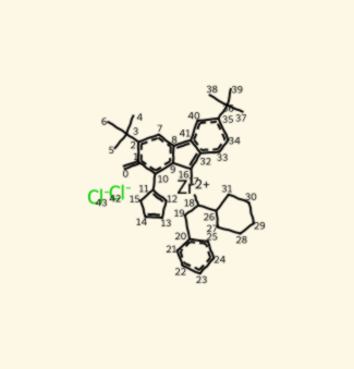 C=c1c(C(C)(C)C)cc2c(c1C1=CC=CC1)[C]([Zr+2][CH](Cc1ccccc1)C1CCCCC1)=c1ccc(C(C)(C)C)cc1=2.[Cl-].[Cl-]